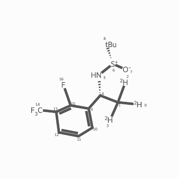 [2H]C([2H])([2H])[C@@H](N[S@@+]([O-])C(C)(C)C)c1cccc(C(F)(F)F)c1F